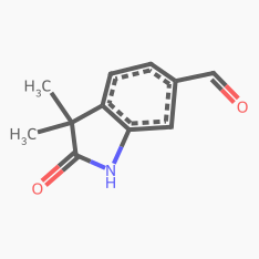 CC1(C)C(=O)Nc2cc(C=O)ccc21